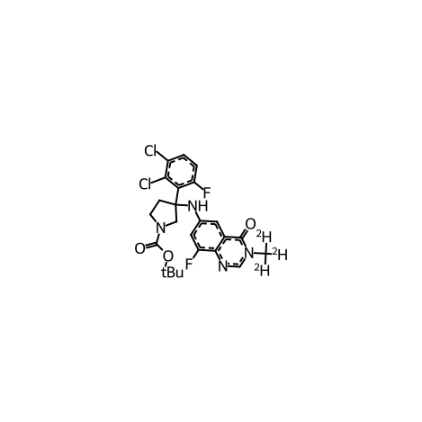 [2H]C([2H])([2H])n1cnc2c(F)cc(NC3(c4c(F)ccc(Cl)c4Cl)CCN(C(=O)OC(C)(C)C)C3)cc2c1=O